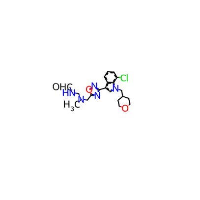 CN(CNC=O)Cc1nc(-c2cn(CC3CCOCC3)c3c(Cl)cccc23)no1